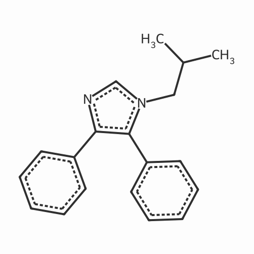 CC(C)Cn1cnc(-c2ccccc2)c1-c1ccccc1